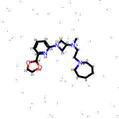 CN(CCN1CCCCCC1)C1CN(c2cccc(C3OCCO3)n2)C1